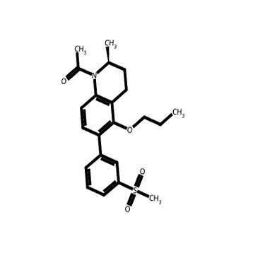 CCCOc1c(-c2cccc(S(C)(=O)=O)c2)ccc2c1CC[C@H](C)N2C(C)=O